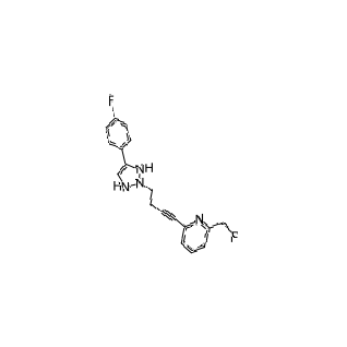 FCc1cccc(C#CCCN2NC=C(c3ccc(F)cc3)N2)n1